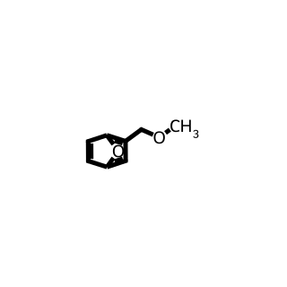 COCc1cc2ccc1o2